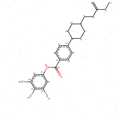 C=C(CC)CCC1CCC(c2ccc(C(=O)Oc3cc(F)c(F)c(F)c3)cc2)CC1